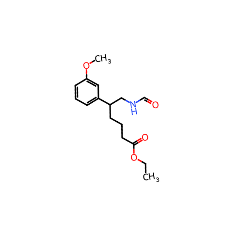 CCOC(=O)CCCC(CNC=O)c1cccc(OC)c1